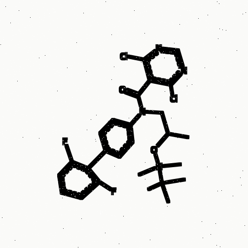 CC(CN(C(=O)c1c(Cl)ncnc1Cl)c1ccc(-c2c(F)cccc2F)cc1)O[Si](C)(C)C(C)(C)C